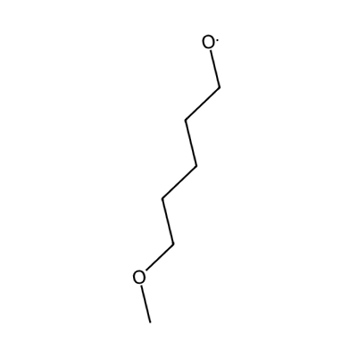 COCCCCC[O]